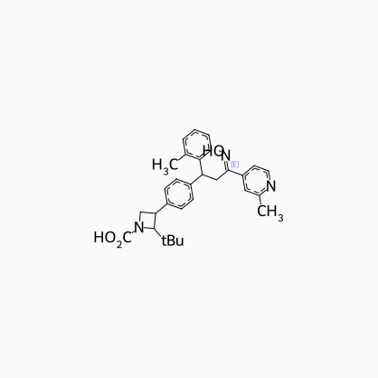 Cc1cc(/C(CC(c2ccc(C3CN(C(=O)O)C3C(C)(C)C)cc2)c2ccccc2C)=N/O)ccn1